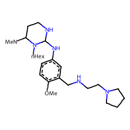 CCCCCCN1C(NC)CCNC1Nc1ccc(OC)c(CNCCN2CCCC2)c1